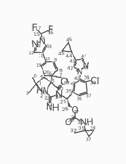 CC(C)(C)C[C@]1(C2(C)C=CC(c3cnn(C(F)F)c3)=CC2)NC(=N)N([C@H](COC(=O)NC2(C)CC2)c2ccc(Cl)c(-n3cc(C4CC4)cn3)c2)C1=O